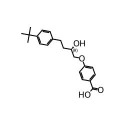 CC(C)(C)c1ccc(CC[C@@H](O)COc2ccc(C(=O)O)cc2)cc1